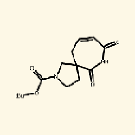 CC(C)(C)OC(=O)N1CCC2(CC=CC(=O)NC2=O)C1